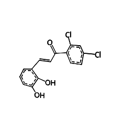 O=C(C=Cc1cccc(O)c1O)c1ccc(Cl)cc1Cl